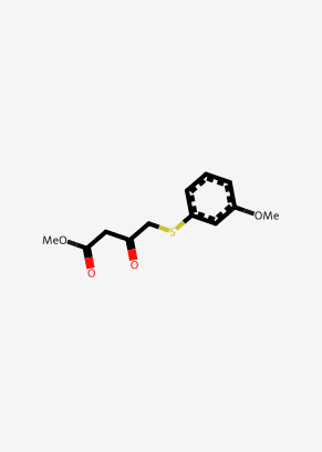 COC(=O)CC(=O)CSc1cccc(OC)c1